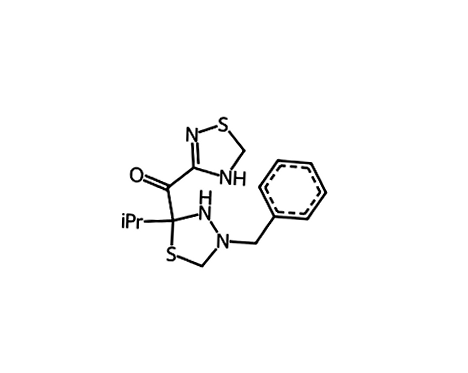 CC(C)C1(C(=O)C2=NSCN2)NN(Cc2ccccc2)CS1